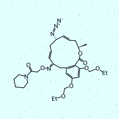 CCOCOc1cc2c(c(OCOCC)c1)C(=O)O[C@H](C)C/C=C/[C@@H](N=[N+]=[N-])C/C=C/C(=NOCC(=O)N1CCCCC1)C2